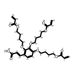 C=CC(=O)OCCCCOc1ccc(C=CC(=O)O)c(OCCCCOC(=O)C=C)c1OCCCCOC(=O)C=C